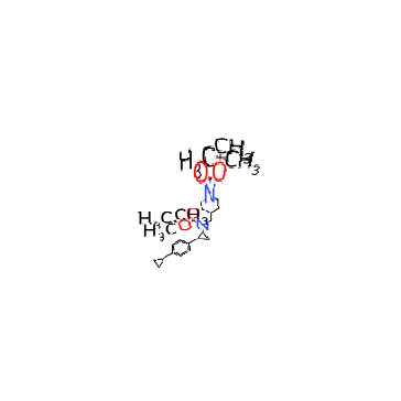 CC(C)(C)OC(=O)N1CCC(CN(C(=O)OC(C)(C)C)C2CC2c2ccc(C3CC3)cc2)CC1